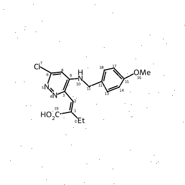 CC/C(=C/c1nnc(Cl)cc1NCc1ccc(OC)cc1)C(=O)O